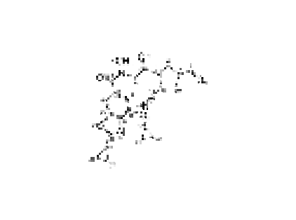 CN(CC(=O)N1CC(C=O)CC1C#N)C(=O)c1cc(OC2CC2)c2nc(C3CC3)sc2c1